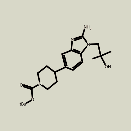 CC(C)(O)Cn1c(N)nc2cc(C3CCN(C(=O)OC(C)(C)C)CC3)ccc21